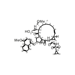 COC[C@@H]1C[C@H](C)CC/C=C\[C@@H]2C[C@@]2(C(=O)NS(=O)(=O)C2CC2)NC(=O)[C@@H]2C[C@@H](Oc3ncc(OC)c4ccccc34)CN2C(=O)[C@H]1NC(=O)O